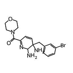 NC1N=C(C(=O)N2CCOCC2)C=CC1(N)Cc1cccc(Br)c1